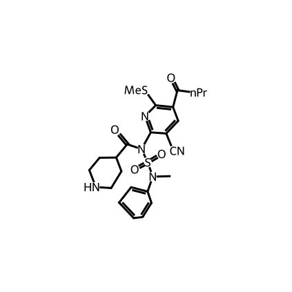 CCCC(=O)c1cc(C#N)c(N(C(=O)C2CCNCC2)S(=O)(=O)N(C)c2ccccc2)nc1SC